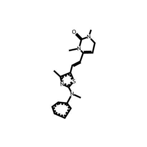 Cc1nc(N(C)c2ccccc2)sc1C=CC1=CCN(C)C(=O)N1C